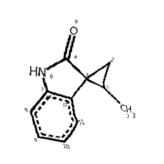 CC1CC12C(=O)Nc1ccccc12